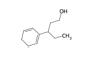 CCC(CCO)C1=C[CH]CC=C1